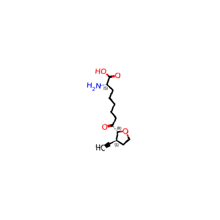 C#C[C@@H]1CCO[C@H]1C(=O)CCCCC[C@H](N)C(=O)O